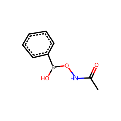 CC(=O)NOB(O)c1ccccc1